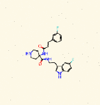 O=C(C=Cc1cccc(F)c1)NC1(C(=O)NCCc2c[nH]c3ccc(F)cc23)CCNCC1